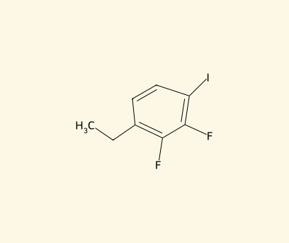 CCc1ccc(I)c(F)c1F